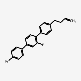 C=CCCc1ccc(-c2ccc(-c3ccc(C(C)C)cc3)cc2F)cc1